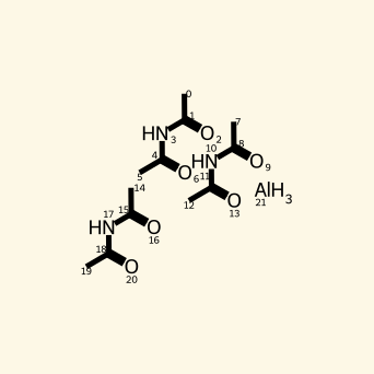 CC(=O)NC(C)=O.CC(=O)NC(C)=O.CC(=O)NC(C)=O.[AlH3]